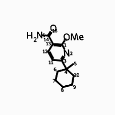 COc1nc(C2(C)CCCCC2)ccc1C(N)=O